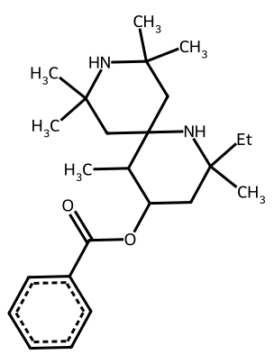 CCC1(C)CC(OC(=O)c2ccccc2)C(C)C2(CC(C)(C)NC(C)(C)C2)N1